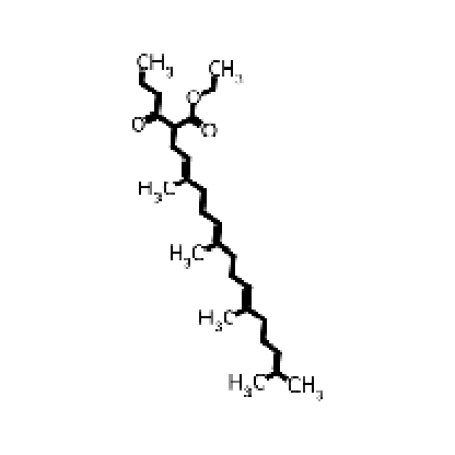 CCCC(=O)C(C/C=C(\C)CC/C=C(\C)CC/C=C(\C)CCC=C(C)C)C(=O)OCC